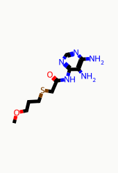 COCCCSCC(=O)Nc1ncnc(N)c1N